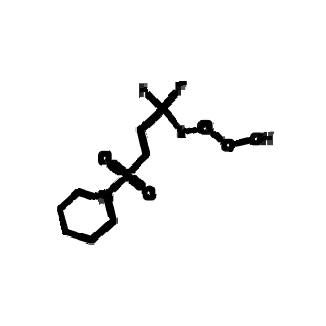 O=S(=O)(CCC(F)(F)SOOO)N1CCCCC1